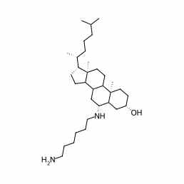 CC(C)CCC[C@@H](C)[C@H]1CCC2C3C[C@@H](NCCCCCCN)C4C[C@@H](O)CC[C@]4(C)C3CC[C@@]21C